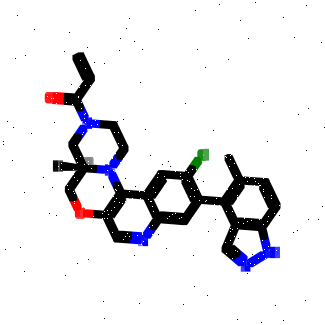 C=CC(=O)N1CCN2c3c(cnc4cc(-c5c(C)ccc6[nH]ncc56)c(Cl)cc34)OC[C@@H]2C1